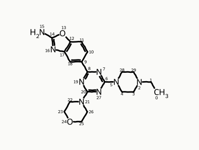 CCN1CCN(c2nc(-c3ccc4oc(N)nc4c3)nc(N3CCOCC3)n2)CC1